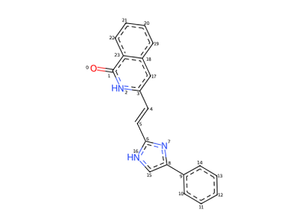 O=c1[nH]c(C=Cc2nc(-c3ccccc3)c[nH]2)cc2ccccc12